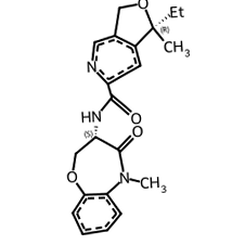 CC[C@@]1(C)OCc2cnc(C(=O)N[C@H]3COc4ccccc4N(C)C3=O)cc21